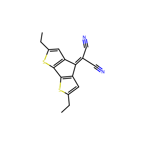 CCc1cc2c(s1)-c1sc(CC)cc1C2=C(C#N)C#N